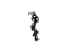 Cc1cc(O)cc(C)c1S(=O)(=O)N(C)CCOCC(=O)N(C)C[C@@H]1CC[C@H](N(C)CCN(C)C)C1